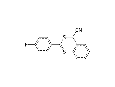 N#CC(SC(=S)c1ccc(F)cc1)c1ccccc1